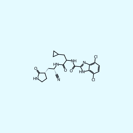 N#C[C@H](C[C@@H]1CCNC1=O)NC(=O)C(CC1CC1)NC(=O)c1nc2c(Cl)ccc(Cl)c2[nH]1